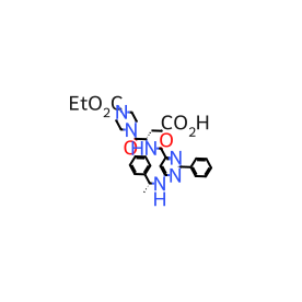 CCOC(=O)N1CCN(C(=O)[C@H](CCC(=O)O)NC(=O)c2cc(N[C@H](C)c3ccccc3)nc(-c3ccccc3)n2)CC1